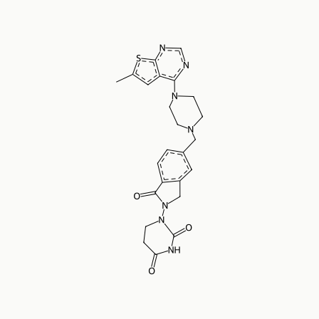 Cc1cc2c(N3CCN(Cc4ccc5c(c4)CN(N4CCC(=O)NC4=O)C5=O)CC3)ncnc2s1